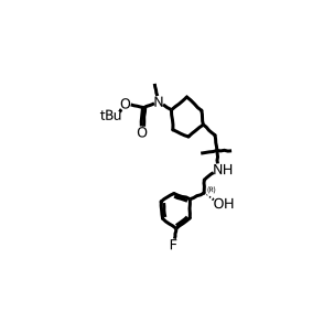 CN(C(=O)OC(C)(C)C)C1CCC(CC(C)(C)NC[C@H](O)c2cccc(F)c2)CC1